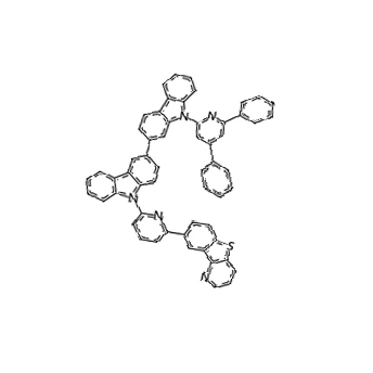 c1ccc(-c2cc(-c3ccccc3)nc(-n3c4ccccc4c4ccc(-c5ccc6c(c5)c5ccccc5n6-c5cccc(-c6ccc7sc8cccnc8c7c6)n5)cc43)c2)cc1